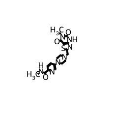 CCn1c(=O)[nH]c2nc(CN3CCN(c4ccc(C(=O)NC)nc4)CC3)sc2c1=O